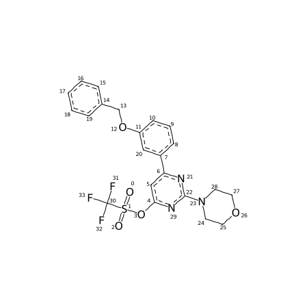 O=S(=O)(Oc1cc(-c2cccc(OCc3ccccc3)c2)nc(N2CCOCC2)n1)C(F)(F)F